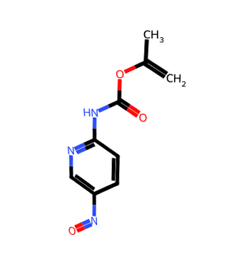 C=C(C)OC(=O)Nc1ccc(N=O)cn1